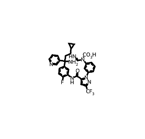 N=CN(C(=O)O)c1cccc(-n2nc(C(F)(F)F)cc2C(=O)Nc2cc(C(N)(CCC3CC3)c3cccnc3)ccc2F)c1